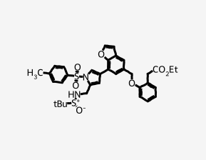 CCOC(=O)Cc1ccccc1OCc1cc(-c2cc(CN[S+]([O-])C(C)(C)C)n(S(=O)(=O)c3ccc(C)cc3)c2)c2occc2c1